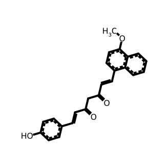 COc1ccc(C=CC(=O)CC(=O)C=Cc2ccc(O)cc2)c2ccccc12